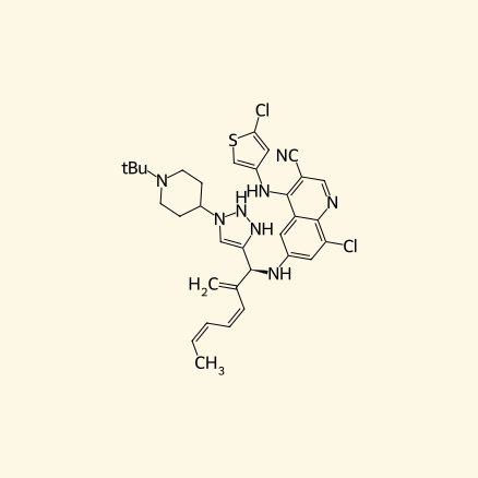 C=C(/C=C\C=C/C)[C@H](Nc1cc(Cl)c2ncc(C#N)c(Nc3csc(Cl)c3)c2c1)C1=CN(C2CCN(C(C)(C)C)CC2)NN1